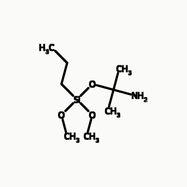 CCC[Si](OC)(OC)OC(C)(C)N